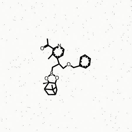 CC(=O)c1nccc(C(COCc2ccccc2)CB2OC3CC4CC(C4(C)C)[C@]3(C)O2)c1C